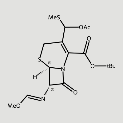 COC=N[C@H]1C(=O)N2C(C(=O)OC(C)(C)C)=C(C(OC(C)=O)SC)CS[C@H]12